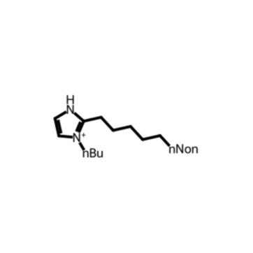 CCCCCCCCCCCCCCc1[nH]cc[n+]1CCCC